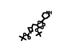 CC(C)(C)OC(=O)C(CC1CN(C(=O)OC(C)(C)C)C1)OC(=O)C1CCNCC1